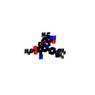 Cc1[nH]c(=O)c(CN2C(=O)c3c(C)c4c(c(C#N)c3CC2C2CCC(N(C)C)CC2)OC(C)O4)c2c1CCO2